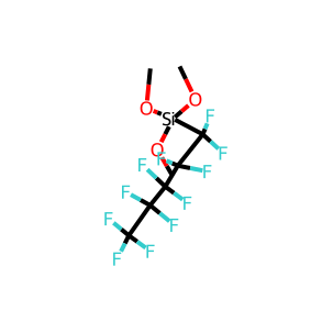 CO[Si](OC)(OC)C(F)(F)C(F)(F)C(F)(F)C(F)(F)C(F)(F)F